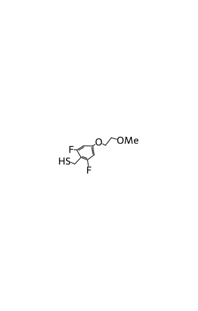 COCCOc1cc(F)c(CS)c(F)c1